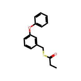 CCC(=O)SCc1cccc(Oc2ccccc2)c1